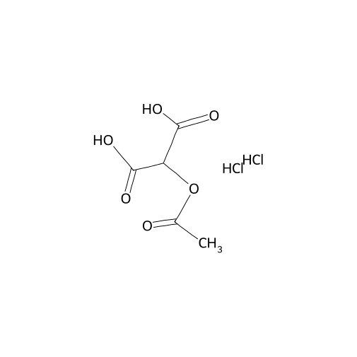 CC(=O)OC(C(=O)O)C(=O)O.Cl.Cl